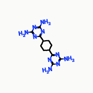 Nc1nc(N)nc(C2CCC(c3nc(N)nc(N)n3)CC2)n1